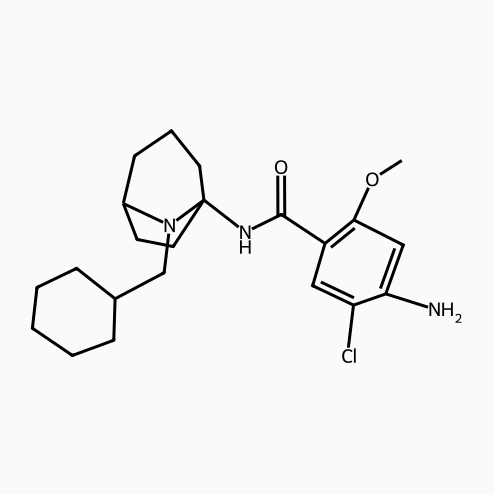 COc1cc(N)c(Cl)cc1C(=O)NC12CCCC(CC1)N2CC1CCCCC1